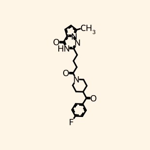 Cc1ccc2c(=O)[nH]c(CCCC(=O)N3CCC(C(=O)c4ccc(F)cc4)CC3)nn12